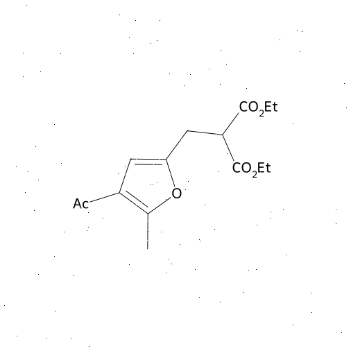 CCOC(=O)C(Cc1cc(C(C)=O)c(C)o1)C(=O)OCC